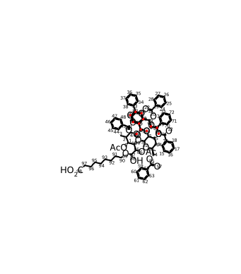 CC(=O)OC(C(C)COC1OC(COC(=O)c2ccccc2)C(OC(=O)c2ccccc2)C(OC(=O)c2ccccc2)C1OC(=O)c1ccccc1)C(OC1OC(COC(=O)c2ccccc2)CC(OC(=O)c2ccccc2)C1OC(=O)c1ccccc1)C(OC(C)=O)C(O)OCCCCCCCCC(=O)O